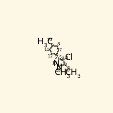 CCc1c(Cl)c(-c2ccc(C)cc2)nn1C